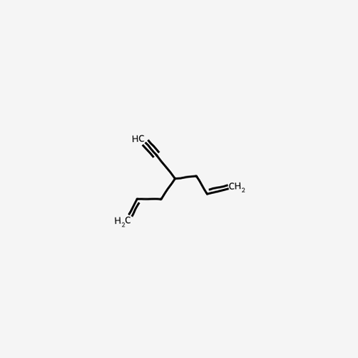 C#CC(CC=C)CC=C